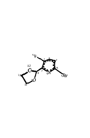 Fc1ccc(Br)nc1C1OCCO1